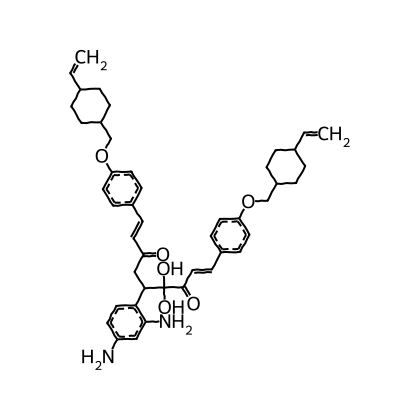 C=CC1CCC(COc2ccc(C=CC(=O)CC(c3ccc(N)cc3N)C(O)(O)C(=O)C=Cc3ccc(OCC4CCC(C=C)CC4)cc3)cc2)CC1